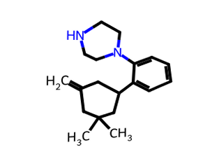 C=C1CC(c2ccccc2N2CCNCC2)CC(C)(C)C1